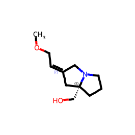 COC/C=C1\CN2CCC[C@@]2(CO)C1